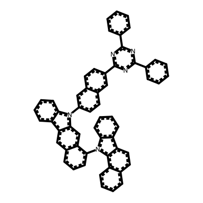 c1ccc(-c2nc(-c3ccccc3)nc(-c3ccc4cc(-n5c6ccccc6c6cc7cccc(-n8c9ccccc9c9ccc%10ccccc%10c98)c7cc65)ccc4c3)n2)cc1